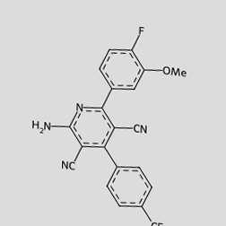 COc1cc(-c2nc(N)c(C#N)c(-c3ccc(C(F)(F)F)cc3)c2C#N)ccc1F